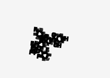 O=C(N1CCC(c2ccc(C(OCc3c(F)cccc3F)(C(F)(F)F)C(F)(F)F)cc2)(S(=O)(=O)c2ccc(F)cc2)C1)C1(CO)CCNCC1